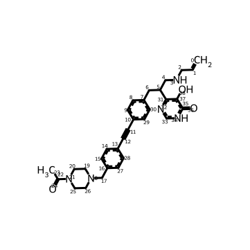 C=CCNCC(Cc1ccc(C#Cc2ccc(CN3CCN(C(C)=O)CC3)cc2)cc1)c1nc[nH]c(=O)c1O